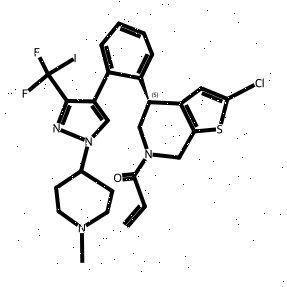 C=CC(=O)N1Cc2sc(Cl)cc2[C@H](c2ccccc2-c2cn(C3CCN(C)CC3)nc2C(F)(F)I)C1